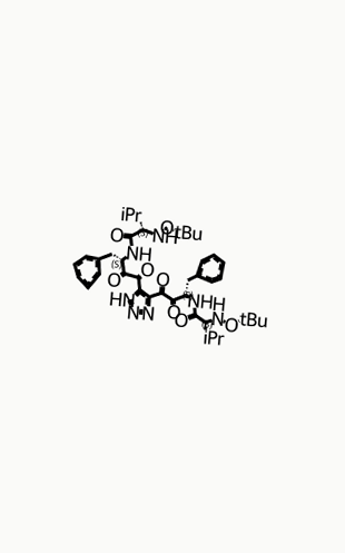 CC(C)[C@H](NOC(C)(C)C)C(=O)N[C@@H](Cc1ccccc1)C(=O)C(=O)c1nn[nH]c1C(=O)C(=O)[C@H](Cc1ccccc1)NC(=O)[C@@H](NOC(C)(C)C)C(C)C